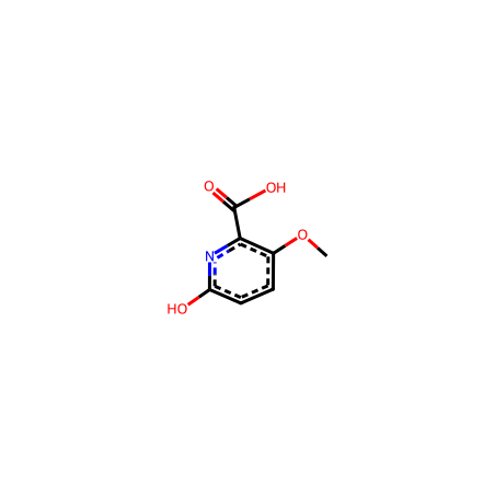 COc1ccc(O)nc1C(=O)O